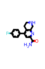 NC(=O)c1cc(-c2ccc(F)cc2)c2c(n1)CNCC2